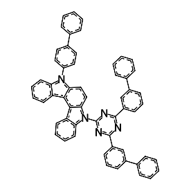 c1ccc(-c2ccc(-n3c4ccccc4c4c5c6ccccc6n(-c6nc(-c7cccc(-c8ccccc8)c7)nc(-c7cccc(-c8ccccc8)c7)n6)c5ccc43)cc2)cc1